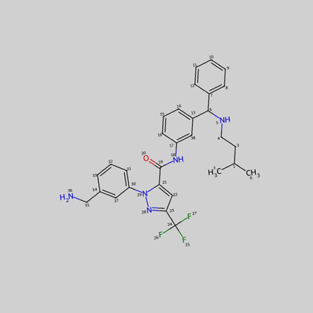 CC(C)CCNC(c1ccccc1)c1cccc(NC(=O)c2cc(C(F)(F)F)nn2-c2cccc(CN)c2)c1